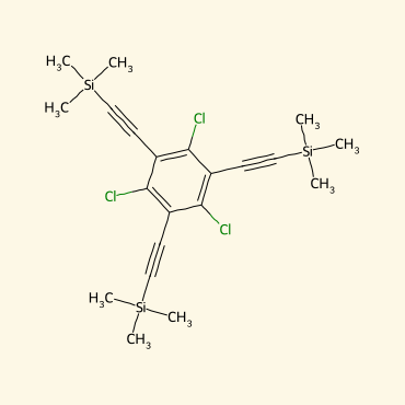 C[Si](C)(C)C#Cc1c(Cl)c(C#C[Si](C)(C)C)c(Cl)c(C#C[Si](C)(C)C)c1Cl